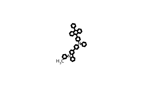 Cc1cccc(-n2c3ccccc3c3cc(-c4ccc(N(c5ccccc5)c5ccc(-c6c7ccccc7c(-c7ccccc7)c7ccccc67)cc5)cc4)ccc32)c1